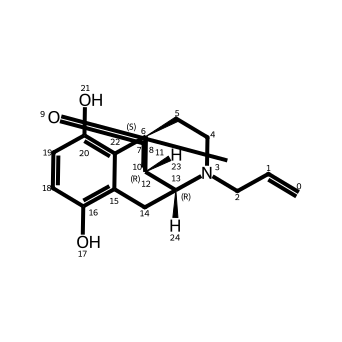 C=CCN1CC[C@]23CC(=O)CC[C@H]2[C@H]1Cc1c(O)ccc(O)c13